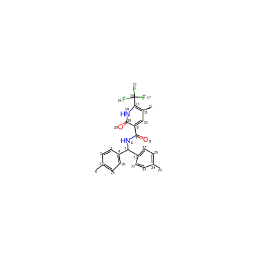 Cc1ccc(C(NC(=O)c2cc(C)c(C(F)(F)F)[nH]c2=O)c2ccc(C)cc2)cc1